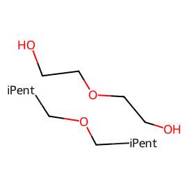 CCCC(C)COCC(C)CCC.OCCOCCO